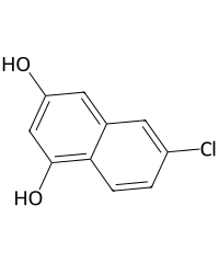 Oc1cc(O)c2ccc(Cl)cc2c1